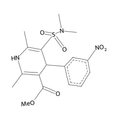 COC(=O)C1=C(C)NC(C)=C(S(=O)(=O)N(C)C)C1c1cccc([N+](=O)[O-])c1